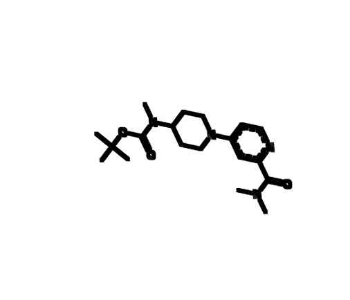 CN(C)C(=O)c1cc(N2CCC(N(C)C(=O)OC(C)(C)C)CC2)ccn1